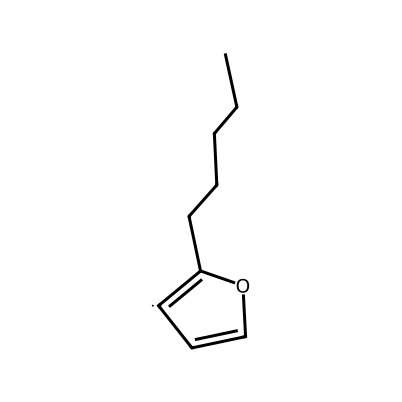 CCCCCc1[c]cco1